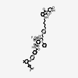 CC1(C)CCC(CN2CCN(c3ccc(C(=O)NS(=O)(=O)c4ccc(N[C@H](CCN5CCN(CCCCCCNc6cccc7c6C(=O)N(C6CCC(=O)NC6=O)C7=O)CC5)CSc5ccccc5)c(S(=O)(=O)C(F)(F)F)c4)cc3)CC2)=C(C23CC(C(F)F)(C2)C3)C1